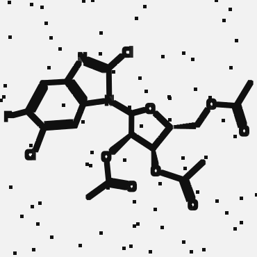 CC(=O)OC[C@H]1OC(n2c(Cl)nc3cc(F)c(Cl)cc32)[C@H](OC(C)=O)[C@@H]1OC(C)=O